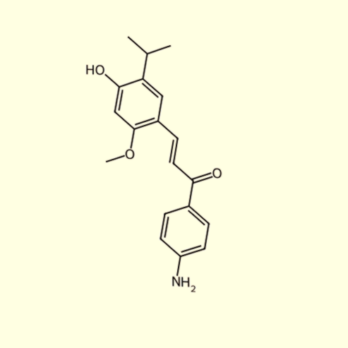 COc1cc(O)c(C(C)C)cc1C=CC(=O)c1ccc(N)cc1